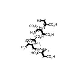 CSCC[C@H](N)C(=O)O.C[C@H](N)C(=O)O.N[C@@H](CC(=O)O)C(=O)O.N[C@@H](CCC(=O)O)C(=O)O.N[C@@H](CS)C(=O)O